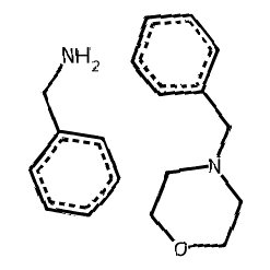 NCc1ccccc1.c1ccc(CN2CCOCC2)cc1